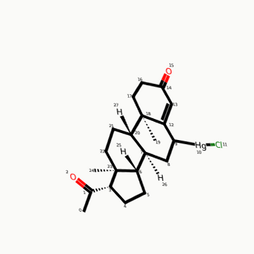 CC(=O)[C@H]1CC[C@H]2[C@@H]3C[CH]([Hg][Cl])C4=CC(=O)CC[C@]4(C)[C@H]3CC[C@]12C